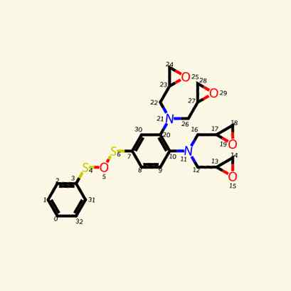 c1ccc(SOSc2ccc(N(CC3CO3)CC3CO3)c(N(CC3CO3)CC3CO3)c2)cc1